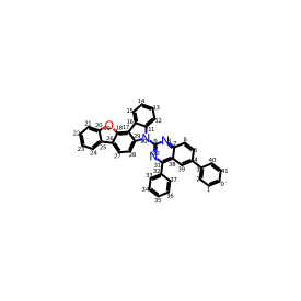 c1ccc(-c2ccc3nc(-n4c5ccccc5c5c6oc7ccccc7c6ccc54)nc(-c4ccccc4)c3c2)cc1